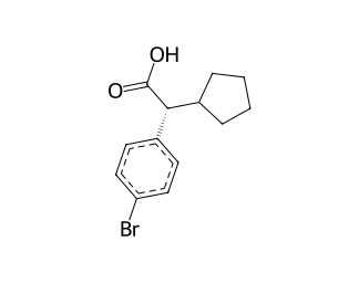 O=C(O)[C@@H](c1ccc(Br)cc1)C1CCCC1